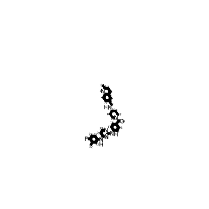 Cc1ccc2cc(CNC3CCN(C(=O)c4ccc(Nc5nccc(Nc6ccc(F)c(C)c6)n5)cc4)CC3)ccc2n1